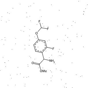 COC(=O)C(N)c1ccc(OC(F)F)cc1F